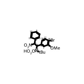 COc1cc(C(C(c2ccccc2)[N+](=O)[O-])N(C(=O)O)C(C)(C)C)ccc1Br